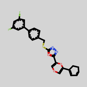 Fc1cc(F)cc(-c2ccc(CSc3nnc(C4=COC=C(C5=CC=CCC5)O4)o3)cc2)c1